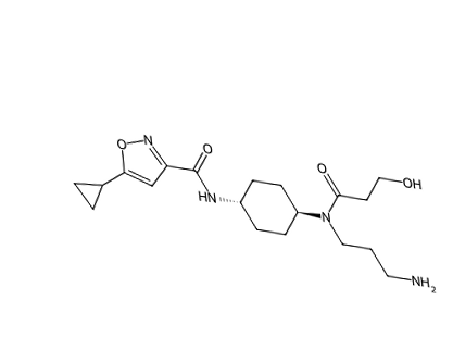 NCCCN(C(=O)CCO)[C@H]1CC[C@H](NC(=O)c2cc(C3CC3)on2)CC1